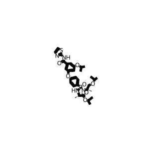 CC(C)OC[C@H](C)NP(=O)(N[C@@H](C)C(=O)OC(C)C)c1ccc(Oc2cc(OC(C)C)cc(C(=O)Nc3nccs3)c2)cc1